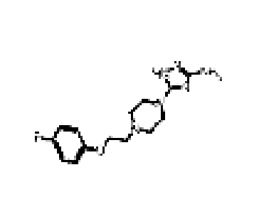 Nc1n[nH]c(N2CCN(CCOc3ccc(F)cc3)CC2)n1